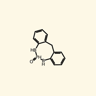 O=[PH]1Bc2ccccc2Cc2ccccc2B1